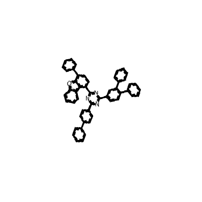 c1ccc(-c2ccc(-c3nc(-c4ccc(-c5ccccc5)c(-c5ccccc5)c4)nc(-c4ccc(-c5ccccc5)c5oc6ccccc6c45)n3)cc2)cc1